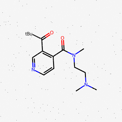 CN(C)CCN(C)C(=O)c1ccncc1C(=O)C(C)(C)C